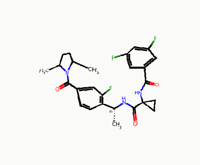 CC1CCC(C)N1C(=O)c1ccc([C@@H](C)NC(=O)C2(NC(=O)c3cc(F)cc(F)c3)CC2)c(F)c1